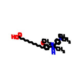 COc1cc(-c2nc(-c3ccc(N(C)C)cc3)c(C)[nH]2)ccc1CCCCCCCCCCCC(=O)O